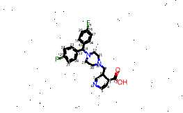 O=C(O)C1C=CN=CC1CN1CCN(C(c2ccc(F)cc2)c2ccc(F)cc2)CC1